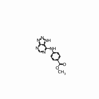 COC(=O)c1ccc(Nc2ncnc3nn[nH]c23)cc1